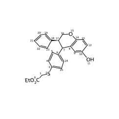 CCOC(=O)CSc1ccc(C2c3cc(O)ccc3OC[C@@H]2c2ccccc2)cc1